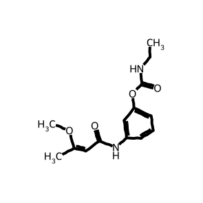 CCNC(=O)Oc1cccc(NC(=O)/C=C(/C)OC)c1